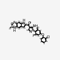 Cc1cc(Oc2ccccc2Cl)cc(F)c1-n1ncc(C(=O)c2cc3cc(N[S+](C)[O-])c(F)cc3[nH]2)c1N